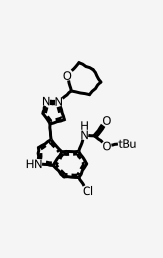 CC(C)(C)OC(=O)Nc1cc(Cl)cc2[nH]cc(-c3cnn(C4CCCCO4)c3)c12